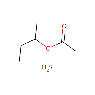 CCC(C)OC(C)=O.S